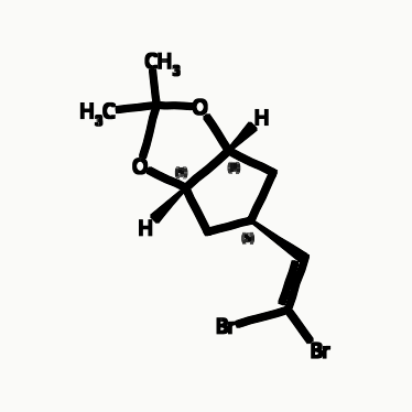 CC1(C)O[C@H]2C[C@H](C=C(Br)Br)C[C@H]2O1